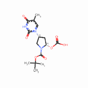 Cc1cn([C@@H]2C[C@H](OC(=O)O)N(C(=O)OC(C)(C)C)C2)c(=O)[nH]c1=O